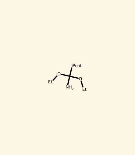 CCCC(C)C(N)(OCC)OCC